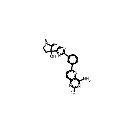 [2H]c1nc(N)c2nc(-c3cccc(-c4nc(C5(O)CCN(C)C5=O)co4)c3)ccc2n1